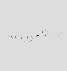 CC(C)(C)c1cc(NC(=O)Nc2ccc(C#Cc3ccc(OCCN4CCCCC4)c(F)c3)cc2)no1